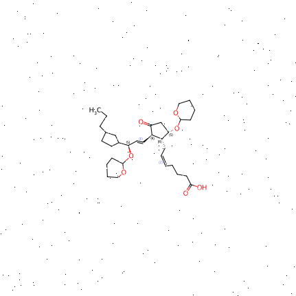 CCCC1CCC([C@@H](/C=C/[C@H]2C(=O)C[C@H](OC3CCCCO3)[C@@H]2C/C=C\CCCC(=O)O)OC2CCCCO2)C1